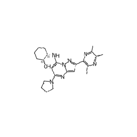 Cc1nc(C)c(-c2cc3nc(N4CCCC4)cc(N[C@H]4CCCC[C@@H]4O)n3n2)nc1C